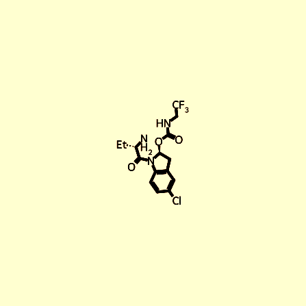 CC[C@H](N)C(=O)N1c2ccc(Cl)cc2C[C@@H]1OC(=O)NCC(F)(F)F